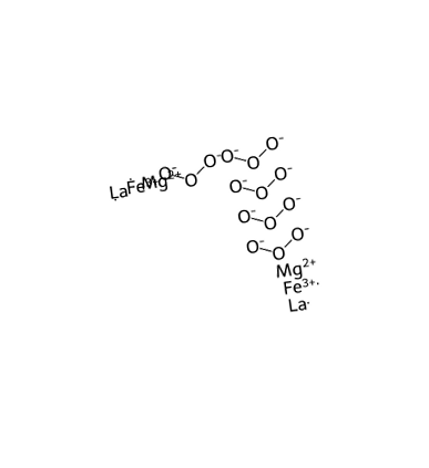 [Fe+3].[Fe+3].[La].[La].[Mg+2].[Mg+2].[O-]O[O-].[O-]O[O-].[O-]O[O-].[O-]O[O-].[O-]O[O-]